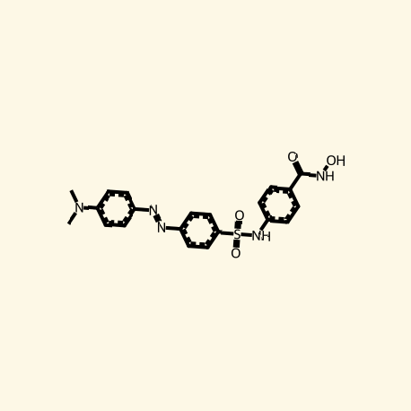 CN(C)c1ccc(N=Nc2ccc(S(=O)(=O)Nc3ccc(C(=O)NO)cc3)cc2)cc1